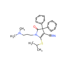 CC(C)SC1=C(C#N)C(c2ccccc2)(c2ccccc2)C(=O)N1CCCN(C)C